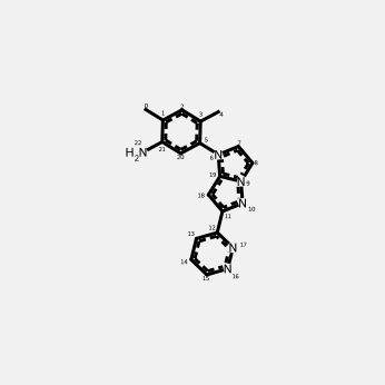 Cc1cc(C)c(-n2ccn3nc(-c4cccnn4)cc23)cc1N